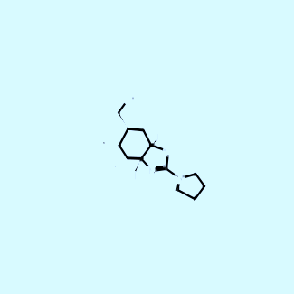 OC[C@H]1C[C@@H]2OC(N3CCCC3)=N[C@@H]2[C@H](F)[C@@H]1O